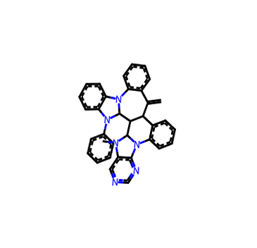 C=C1c2ccccc2N2c3ccccc3N(c3ccccc3)C2C2C1c1ccccc1N1c3ncncc3N(C)C21